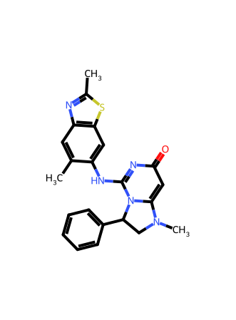 Cc1nc2cc(C)c(Nc3nc(=O)cc4n3C(c3ccccc3)CN4C)cc2s1